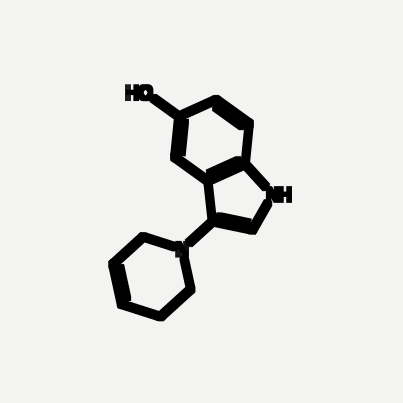 Oc1ccc2[nH]cc(N3CC=CCC3)c2c1